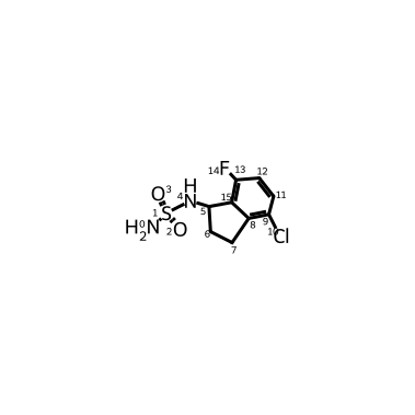 NS(=O)(=O)NC1CCc2c(Cl)ccc(F)c21